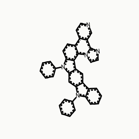 c1ccc(-n2c3ccccc3c3cc4c5c(ccc6c7ccncc7c7nccn7c65)n(-c5ccccc5)c4cc32)cc1